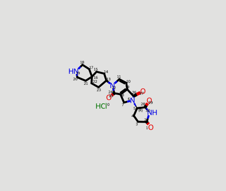 Cl.O=C1CC[C@@H](N2Cc3c(ccn(C4CCC5(CCNCC5)CC4)c3=O)C2=O)C(=O)N1